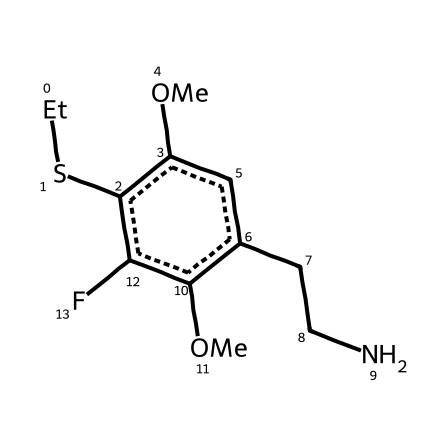 CCSc1c(OC)cc(CCN)c(OC)c1F